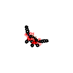 O=C1C(=CC2=Cc3sc4c(sc5c6c(sc54)C=C(/C=C4/C(=O)c5cc7cc8ccccc8cc7cc5C4O)C6(C(=O)OCc4ccccc4)C(=O)OCc4ccccc4)c3C2(C(=O)OCc2ccccc2)C(=O)OCc2ccccc2)C(=O)c2cc3cc4ccccc4cc3cc21